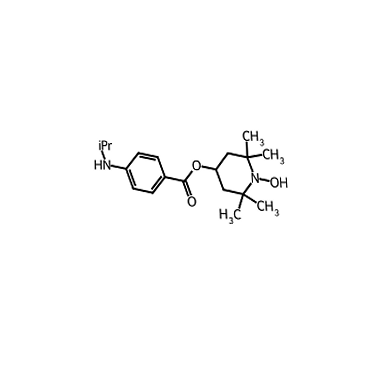 CC(C)Nc1ccc(C(=O)OC2CC(C)(C)N(O)C(C)(C)C2)cc1